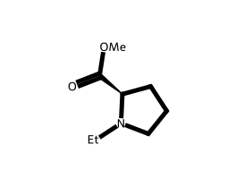 CCN1CCC[C@@H]1C(=O)OC